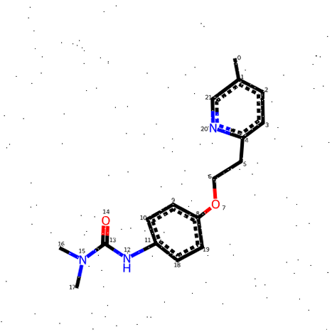 Cc1ccc(CCOc2ccc(NC(=O)N(C)C)cc2)nc1